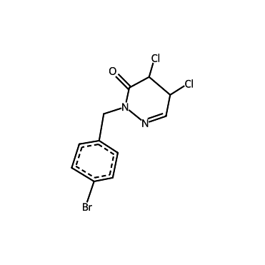 O=C1C(Cl)C(Cl)C=NN1Cc1ccc(Br)cc1